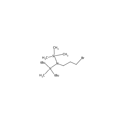 CC(C)(C)[Si](C)(N(CCCBr)[Si](C)(C)C)C(C)(C)C